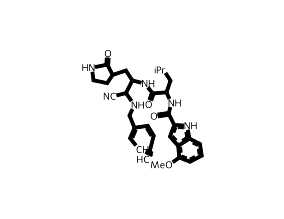 C#C/C=C\C(=C/C)CNC(C#N)C(CC1CCNC1=O)NC(=O)C(CC(C)C)NC(=O)c1cc2c(OC)cccc2[nH]1